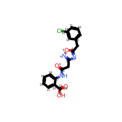 O=C(Cc1noc(Cc2cccc(Cl)c2)n1)Nc1ccccc1C(=O)O